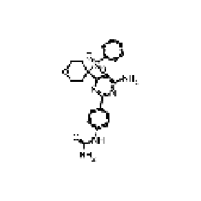 NC(=O)Nc1ccc(-c2nc(N)cc(C3(S(=O)(=O)c4ccccc4)CCOCC3)n2)cc1